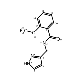 O=C(NCc1cc[nH]n1)c1ccccc1OC(F)(F)F